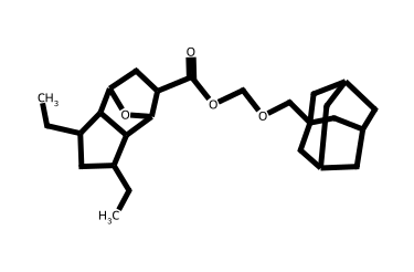 CCC1CC(CC)C2C3OC(CC3C(=O)OCOCC34CC5CC(CC(C5)C3)C4)C12